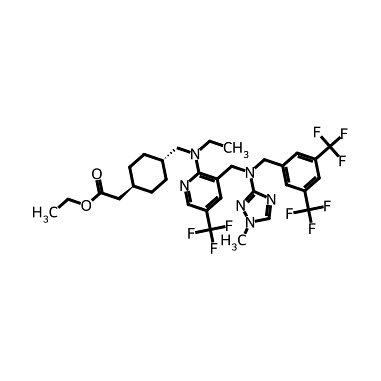 CCOC(=O)C[C@H]1CC[C@H](CN(CC)c2ncc(C(F)(F)F)cc2CN(Cc2cc(C(F)(F)F)cc(C(F)(F)F)c2)c2ncn(C)n2)CC1